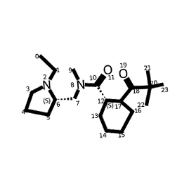 CCN1CCC[C@H]1CN(C)C(=O)[C@H]1CCCCC1C(=O)C(C)(C)C